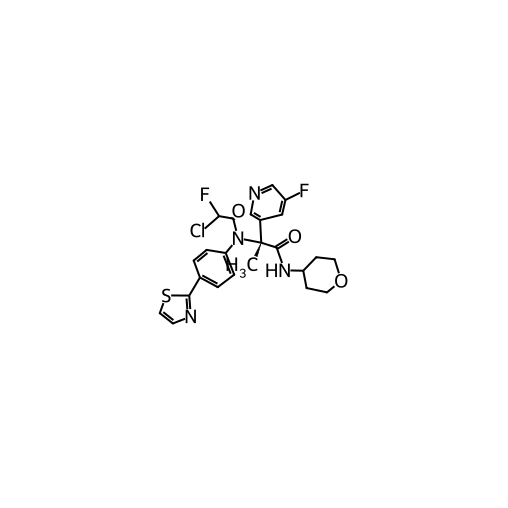 C[C@](C(=O)NC1CCOCC1)(c1cncc(F)c1)N(C(=O)C(F)Cl)c1ccc(-c2nccs2)cc1